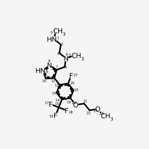 CNCCN(C)Cc1n[nH]cc1-c1cc(C(F)(F)F)c(OCCOC)cc1F